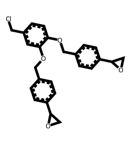 ClCc1ccc(OCc2ccc(C3CO3)cc2)c(OCc2ccc(C3CO3)cc2)c1